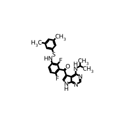 Cc1cc(C)cc(SNc2ccc(F)c(C(=O)c3c[nH]c4ncnc(NC(C)C)c34)c2F)c1